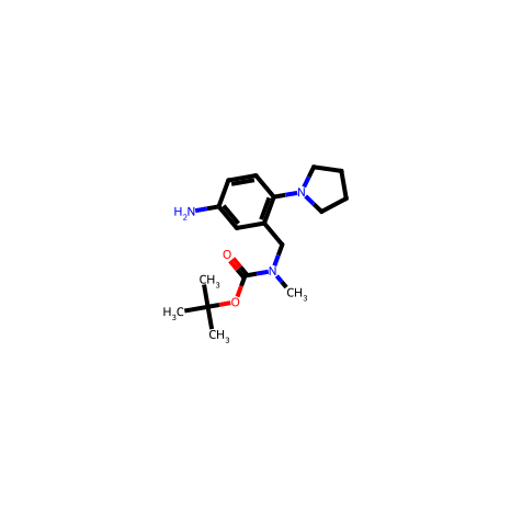 CN(Cc1cc(N)ccc1N1CCCC1)C(=O)OC(C)(C)C